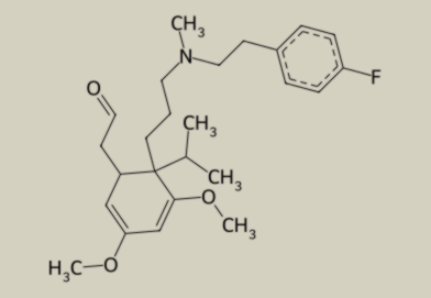 COC1=CC(CC=O)C(CCCN(C)CCc2ccc(F)cc2)(C(C)C)C(OC)=C1